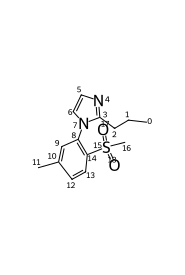 CCCc1nccn1-c1cc(C)ccc1S(C)(=O)=O